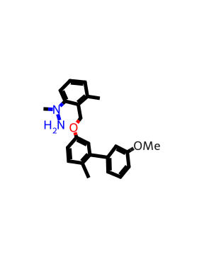 COc1cccc(-c2cc(OCc3c(C)cccc3N(C)N)ccc2C)c1